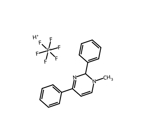 CN1C=CC(c2ccccc2)=NC1c1ccccc1.F[P-](F)(F)(F)(F)F.[H+]